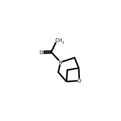 CC(=O)N1CC2CC(C1)O2